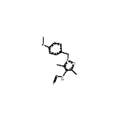 COc1ccc(Cn2nc(C)c(NC=O)c2C)cc1